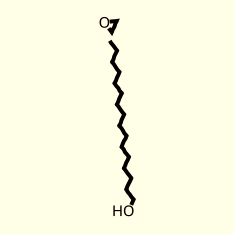 C1CO1.CCCCCCCCCCCCCCCCO